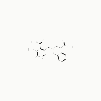 Cc1ncc(CN(CCC(=O)O)Cc2ccccc2)c(C(=O)O)c1O